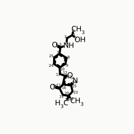 CC(O)CNC(=O)c1ccc(Cc2onc3c2C(=O)CC(C)(C)C3)cc1